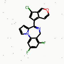 Fc1cc(F)c2c(c1)-n1cccc1C(c1cc(Cl)c3coccc1-3)=NC2